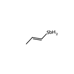 CC=[CH][SbH2]